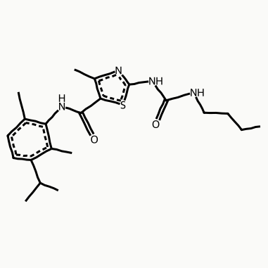 CCCCNC(=O)Nc1nc(C)c(C(=O)Nc2c(C)ccc(C(C)C)c2C)s1